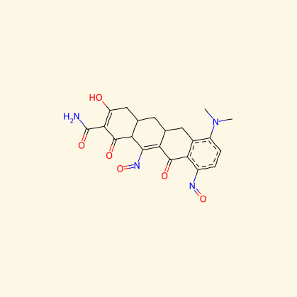 CN(C)c1ccc(N=O)c2c1CC1CC3CC(O)=C(C(N)=O)C(=O)C3C(N=O)=C1C2=O